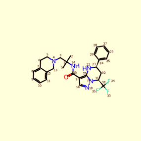 CC(C)(CN1CCc2ccccc2C1)NC(=O)c1cnn2c1N[C@@H](c1ccccc1)C[C@H]2C(F)(F)F